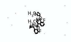 Cc1c(C(=O)N[C@H](c2cccc(F)c2)C2CC2)c2cccc(F)c2c(=O)n1C[C@H]1CCCN1C